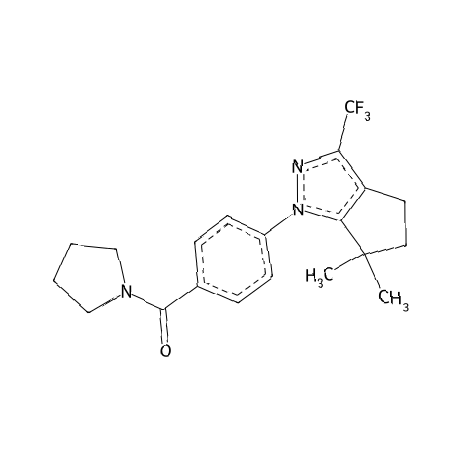 CC1(C)CCc2c(C(F)(F)F)nn(-c3ccc(C(=O)N4CCCC4)cc3)c21